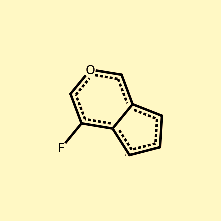 Fc1cocc2cc[c]c1-2